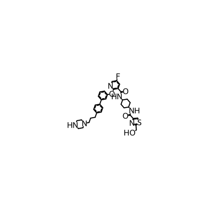 O=C(NC1CCC(NC(=O)c2cc(F)cnc2Oc2cccc(-c3ccc(CCCN4CCNCC4)cc3)c2)CC1)c1csc(CO)n1